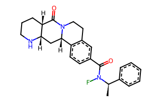 C[C@H](c1ccccc1)N(F)C(=O)c1ccc2c(c1)CCN1C(=O)[C@H]3CCCN[C@H]3C[C@@H]21